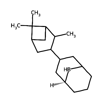 CC1C(C2CC3B[C@@H](CCC3)C2)CC2CC1C2(C)C